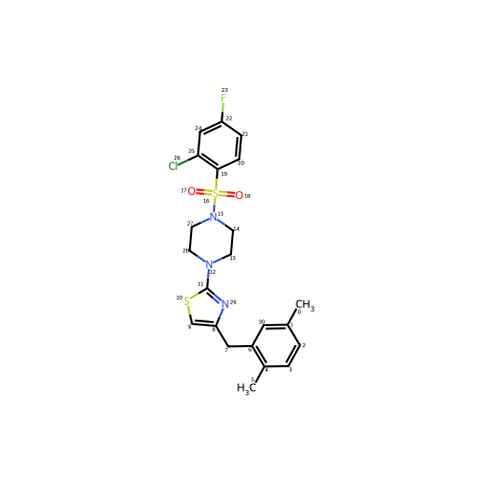 Cc1ccc(C)c(Cc2csc(N3CCN(S(=O)(=O)c4ccc(F)cc4Cl)CC3)n2)c1